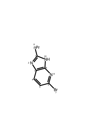 CCCc1nc2ccc(Br)nc2[nH]1